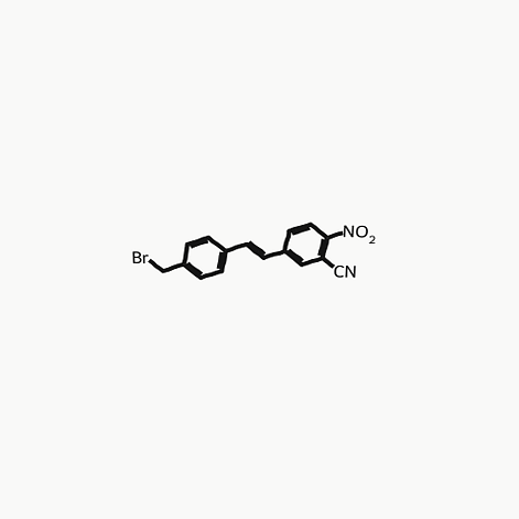 N#Cc1cc(C=Cc2ccc(CBr)cc2)ccc1[N+](=O)[O-]